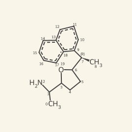 CC(N)C1CCC([C@H](C)c2cccc3ccccc23)O1